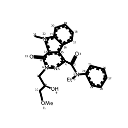 CCN(C(=O)c1nn(C[C@@H](O)COC)c(=O)c2c1c1ccccc1n2C)c1ccccc1